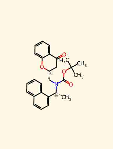 C[C@H](c1cccc2ccccc12)N(C[C@H]1CC(=O)c2ccccc2O1)C(=O)OC(C)(C)C